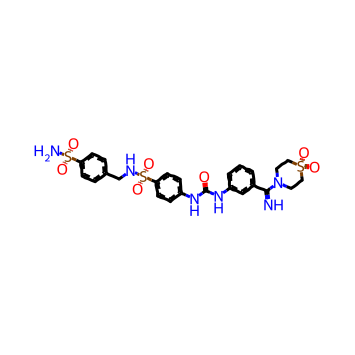 N=C(c1cccc(NC(=O)Nc2ccc(S(=O)(=O)NCc3ccc(S(N)(=O)=O)cc3)cc2)c1)N1CCS(=O)(=O)CC1